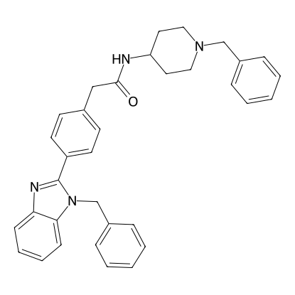 O=C(Cc1ccc(-c2nc3ccccc3n2Cc2ccccc2)cc1)NC1CCN(Cc2ccccc2)CC1